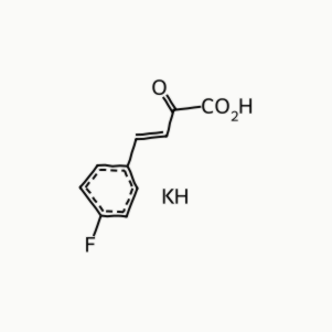 O=C(O)C(=O)C=Cc1ccc(F)cc1.[KH]